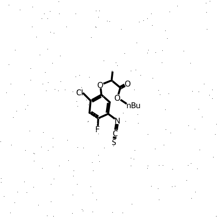 CCCCOC(=O)C(C)Oc1cc(N=C=S)c(F)cc1Cl